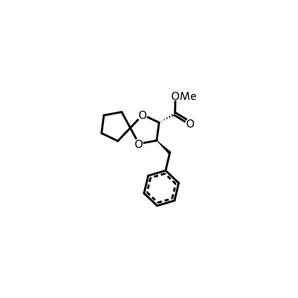 COC(=O)[C@H]1OC2(CCCC2)O[C@@H]1Cc1ccccc1